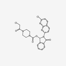 O=C(CCl)N1CCN(C(=O)OC2c3ccccc3C(=O)N2c2ccc3ccc(Cl)nc3n2)CC1